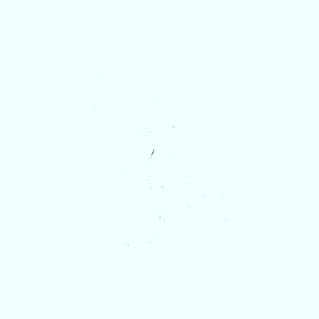 CN[C@@H](C)C(=O)N[C@H](C(=O)N1CCC[C@H]1c1nc(C(=O)c2cc(C)cc(C)c2)cs1)C1CCCCC1